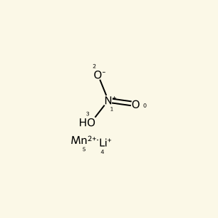 O=[N+]([O-])O.[Li+].[Mn+2]